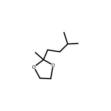 CC(C)CCC1(C)OCCO1